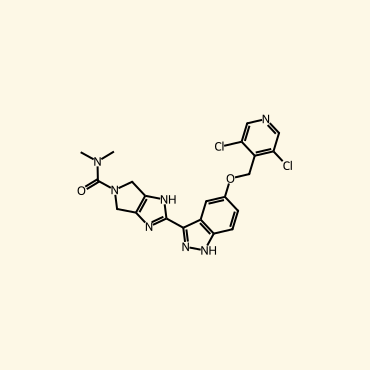 CN(C)C(=O)N1Cc2nc(-c3n[nH]c4ccc(OCc5c(Cl)cncc5Cl)cc34)[nH]c2C1